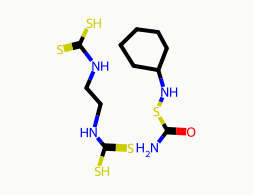 NC(=O)SNC1CCCCC1.S=C(S)NCCNC(=S)S